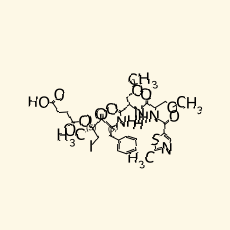 COCC(NC(=O)c1cnc(C)s1)C(=O)NC(COC)C(=O)N[C@@H](Cc1ccccc1)C(=O)[C@@](C)(CI)OC(=O)CCC(=O)O